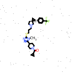 Cn1c(SCCCN2CC[C@]3(C[C@@H]3c3ccc(C(F)(F)F)cc3)C2)nnc1C1CCN(C(=O)C2CC2)CC1